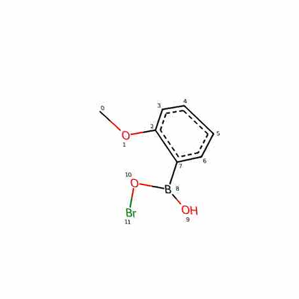 COc1ccccc1B(O)OBr